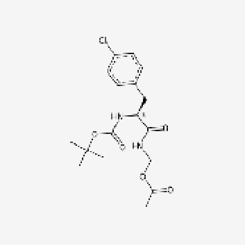 CC(=O)OCNC(=O)[C@H](Cc1ccc(Cl)cc1)NC(=O)OC(C)(C)C